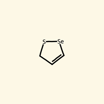 C1=C[Se]SC1